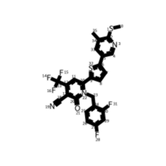 CSc1ncc(-c2ccc(-c3cc(C(F)(F)F)c(C#N)c(=O)n3Cc3ccc(F)cc3F)s2)cc1C